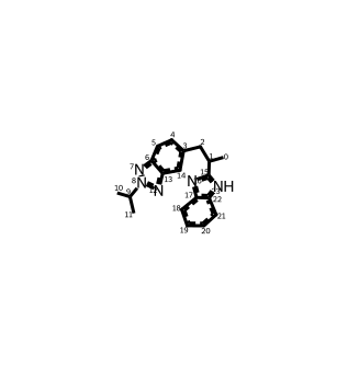 CC(Cc1ccc2nn(C(C)C)nc2c1)c1nc2ccccc2[nH]1